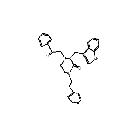 O=C(CN1CCN(CCc2ccccc2)C(=O)[C@@H]1Cc1c[nH]c2ccccc12)c1ccccc1